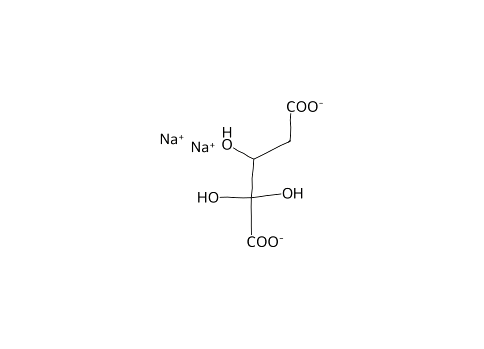 O=C([O-])CC(O)C(O)(O)C(=O)[O-].[Na+].[Na+]